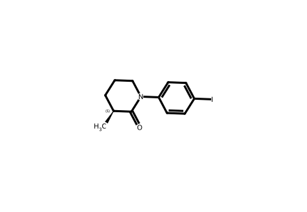 C[C@H]1CCCN(c2ccc(I)cc2)C1=O